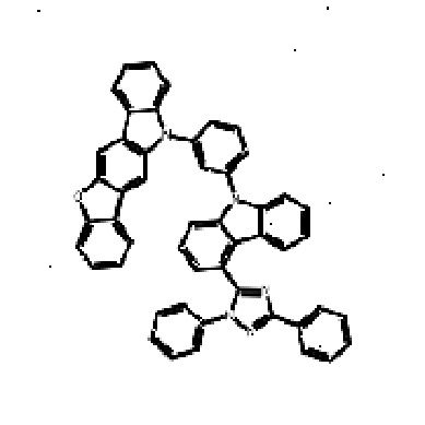 c1ccc(-c2nc(-c3cccc4c3c3ccccc3n4-c3cccc(-n4c5ccccc5c5cc6oc7ccccc7c6cc54)c3)n(-c3ccccc3)n2)cc1